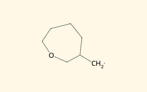 [CH2]C1CCCCOC1